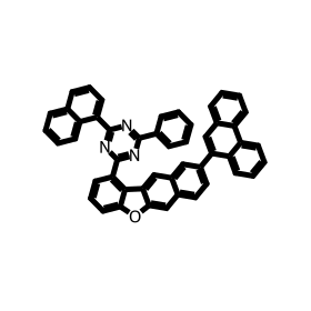 c1ccc(-c2nc(-c3cccc4ccccc34)nc(-c3cccc4oc5cc6ccc(-c7cc8ccccc8c8ccccc78)cc6cc5c34)n2)cc1